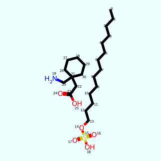 CCCCCCCCCCCCCCOS(=O)(=O)O.NCC1(CC(=O)O)CCCCC1